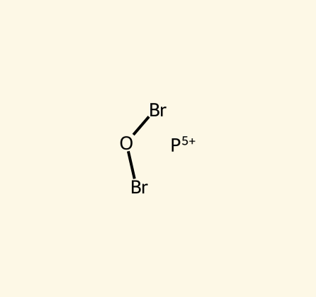 BrOBr.[P+5]